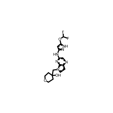 OC1(Cn2ccc3ncc(Nc4cc(OC(F)F)[nH]n4)nc32)CCOCC1